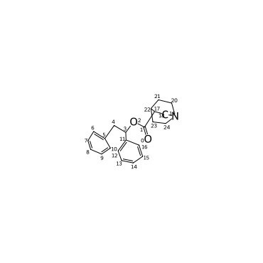 O=C(OC(Cc1ccccc1)c1ccccc1)C1CN2CCC1CC2